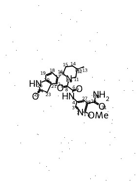 COc1ncc(NC(=O)C(=O)N2C[C@H](C)CC[C@H]2c2ccc3c(c2)CC(=O)N3)cc1C(N)=O